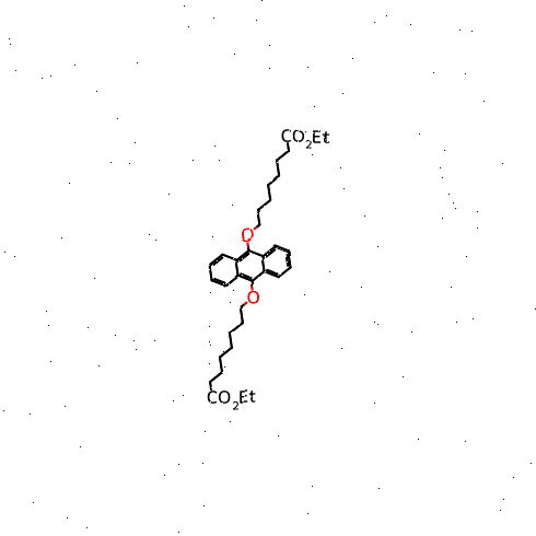 CCOC(=O)CCCCCCCOc1c2ccccc2c(OCCCCCCCC(=O)OCC)c2ccccc12